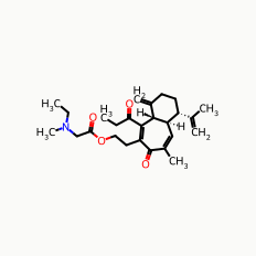 C=C1CC[C@H](C(=C)C)[C@H]2C=C(C)C(=O)C(CCOC(=O)CN(C)CC)=C(C(=O)CC)[C@H]12